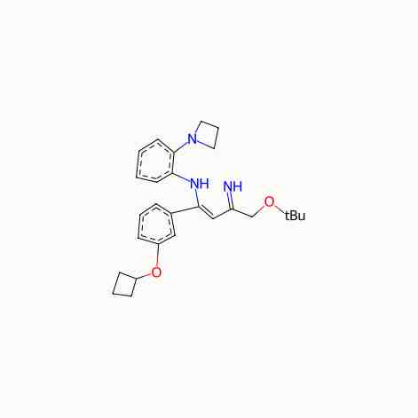 CC(C)(C)OCC(=N)/C=C(\Nc1ccccc1N1CCC1)c1cccc(OC2CCC2)c1